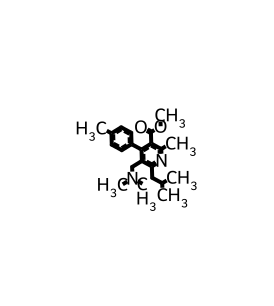 COC(=O)c1c(C)nc(CC(C)C)c(CN(C)C)c1-c1ccc(C)cc1